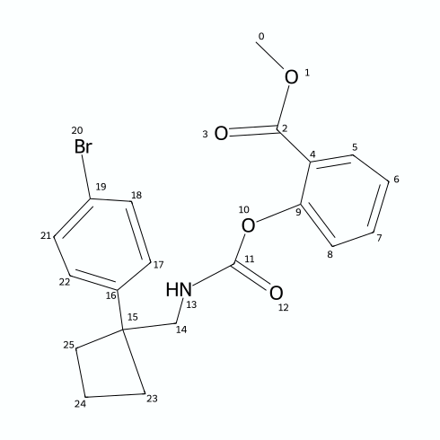 COC(=O)c1ccccc1OC(=O)NCC1(c2ccc(Br)cc2)CCC1